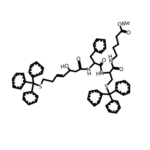 COC(=O)CCCCNC(=O)C(CSC(c1ccccc1)(c1ccccc1)c1ccccc1)NC(=O)C(Cc1ccccc1)NC(=O)CC(O)C=CCCSC(c1ccccc1)(c1ccccc1)c1ccccc1